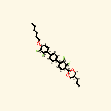 CCCCCCOc1ccc(-c2ccc(-c3ccc(C4OCC(CCC)CO4)c(F)c3F)cc2)c(F)c1F